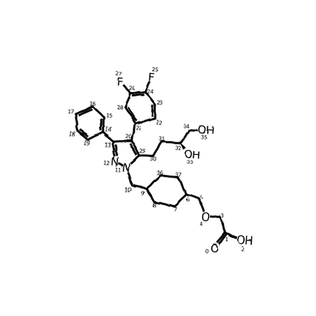 O=C(O)COCC1CCC(Cn2nc(-c3ccccc3)c(-c3ccc(F)c(F)c3)c2CC[C@H](O)CO)CC1